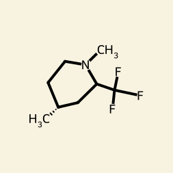 C[C@@H]1CCN(C)C(C(F)(F)F)C1